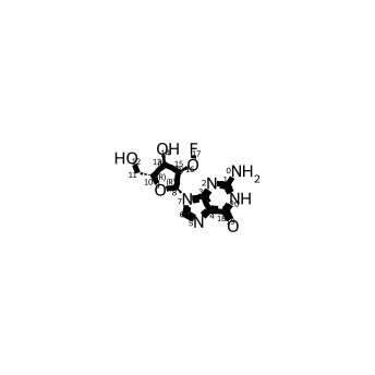 Nc1nc2c(ncn2[C@@H]2O[C@H](CO)[C@@H](O)[C@H]2OF)c(=O)[nH]1